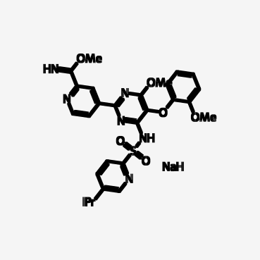 COC(=N)c1cc(-c2nc(NS(=O)(=O)c3ccc(C(C)C)cn3)c(Oc3ccccc3OC)c(OC)n2)ccn1.[NaH]